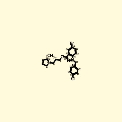 C[C@H]1CCCN1CCCOc1nn(Cc2ccc(Cl)cc2)c2ccc(Br)cc12